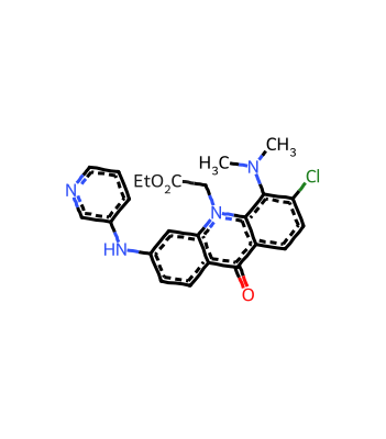 CCOC(=O)Cn1c2cc(Nc3cccnc3)ccc2c(=O)c2ccc(Cl)c(N(C)C)c21